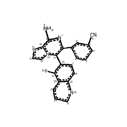 N#Cc1cccc(-c2nc(N)c3nccn3c2-c2ccc3ncccc3c2F)c1